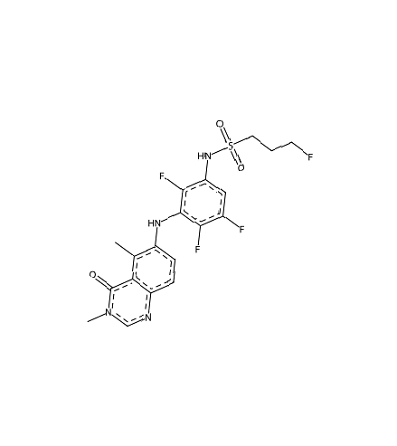 Cc1c(Nc2c(F)c(F)cc(NS(=O)(=O)CCCF)c2F)ccc2ncn(C)c(=O)c12